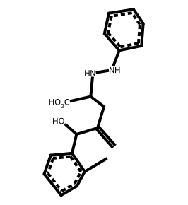 C=C(CC(NNc1ccccc1)C(=O)O)C(O)c1ccccc1C